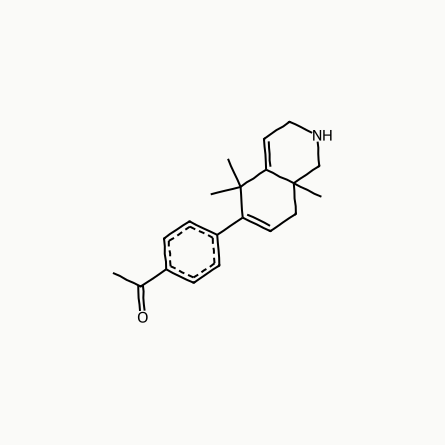 CC(=O)c1ccc(C2=CCC3(C)CNCC=C3C2(C)C)cc1